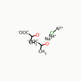 CC([O-])C(=O)[O-].CC([O-])C(=O)[O-].[Al+2][Cl].[Na+].[Na+]